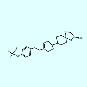 CC1COC2(CCC(C3CC=C(CCc4ccc(OC(F)(F)F)cc4)CC3)CC2)O1